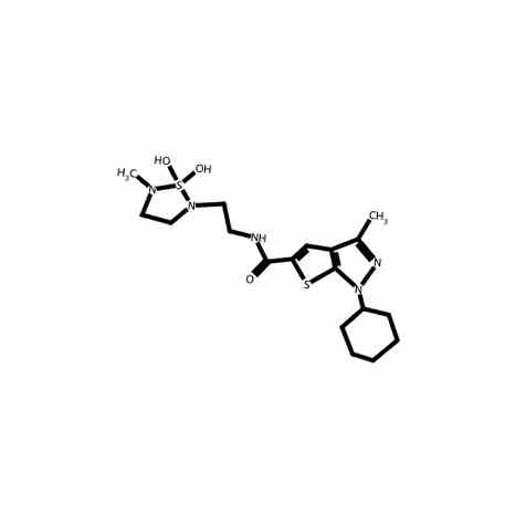 Cc1nn(C2CCCCC2)c2sc(C(=O)NCCN3CCN(C)S3(O)O)cc12